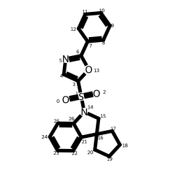 O=S(=O)(c1cnc(-c2ccccc2)o1)N1CC2(CCCC2)c2ccccc21